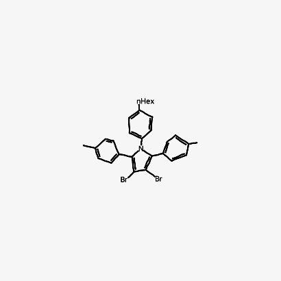 CCCCCCc1ccc(-n2c(-c3ccc(C)cc3)c(Br)c(Br)c2-c2ccc(C)cc2)cc1